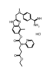 CCOC(=O)CCN(C(=O)Oc1ccc2[nH]c(CN(C)c3ccc(C(=N)N)cc3)nc2c1C)c1ccccn1.Cl